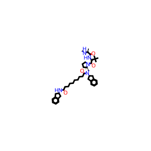 CN[C@@H](C)C(=O)N[C@H](C(=O)N1CCC[C@H]1CN(C(=O)CCCCCCCCC(=O)NC1Cc2ccccc2C1)C1Cc2ccccc2C1)C(C)(C)C